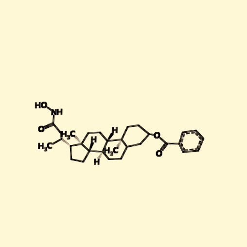 CC(CC(=O)NO)[C@H]1CC[C@H]2[C@@H]3CCC4CC(OC(=O)c5ccccc5)CC[C@]4(C)[C@H]3CC[C@]12C